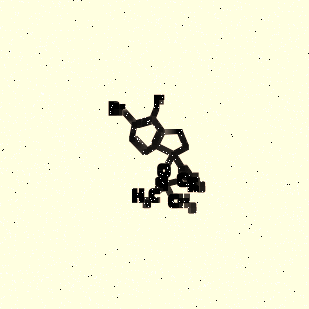 C[Si](C)(C)OC1(C#N)CCc2c1ccc(Br)c2F